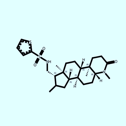 CC1C[C@H]2[C@@H]3CC[C@H]4N(C)C(=O)CC[C@]4(C)[C@H]3CC[C@]2(C)[C@H]1CNS(=O)(=O)c1cccs1